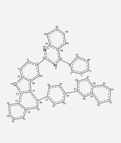 c1ccc(-c2nc(-c3ccc4oc5c6ccccc6cc(-c6ccc(-c7ccc8ccccc8c7)cc6)c5c4c3)nc3ccccc23)cc1